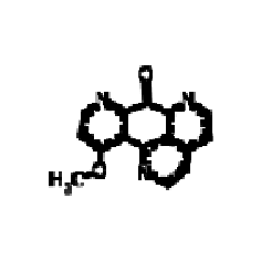 COc1ccnc2c1-c1nccc3ccnc(c13)C2=O